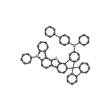 c1ccc(-c2ccc(N(c3ccccc3)c3ccc4c(c3)-c3c(ccc5c3sc3c5ccc5c3c3ccccc3n5-c3ccccc3)C43c4ccccc4-c4ccccc43)cc2)cc1